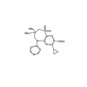 CCCCC1(CCCC)CN(c2ccccc2)c2cc(C3CC3)c(OC)cc2S(=O)(=O)C1